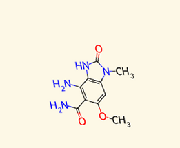 COc1cc2c([nH]c(=O)n2C)c(N)c1C(N)=O